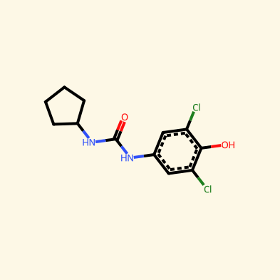 O=C(Nc1cc(Cl)c(O)c(Cl)c1)NC1CCCC1